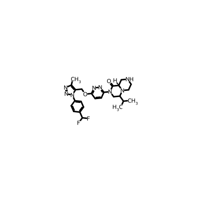 Cc1nnn(-c2ccc(C(F)F)cc2)c1COc1ccc(N2CC(C(C)C)N3CCNC[C@H]3C2=O)nn1